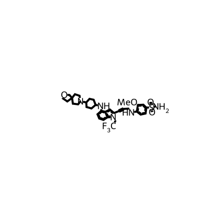 COc1cc(S(N)(=O)=O)ccc1NCC#Cc1cc2c(NC3CCC(N4CCC5(CCOC5)CC4)CC3)cccc2n1CC(F)(F)F